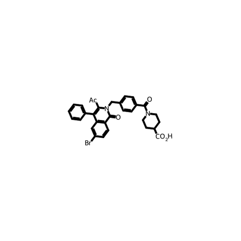 CC(=O)c1c(-c2ccccc2)c2cc(Br)ccc2c(=O)n1Cc1ccc(C(=O)N2CCC(C(=O)O)CC2)cc1